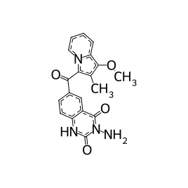 COc1c(C)c(C(=O)c2ccc3[nH]c(=O)n(N)c(=O)c3c2)n2ccccc12